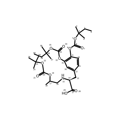 CCC(C)(C)OC(=O)Oc1ccc(C[C@H](NCC(C)OC(=O)OC(C)(C)C)C(=O)O)cc1OC(=O)OC(C)(C)CC